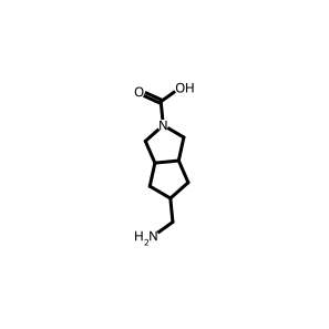 NCC1CC2CN(C(=O)O)CC2C1